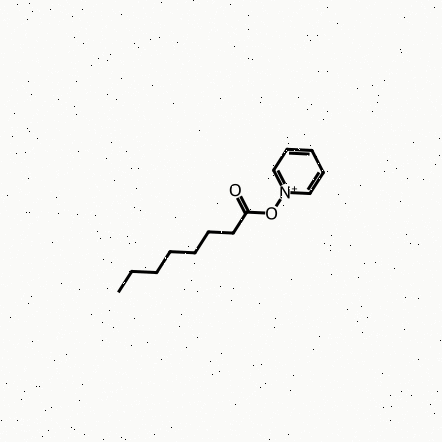 CCCCCCCC(=O)O[n+]1ccccc1